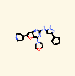 c1ccc(-c2cc(Nc3nc(N4CCOCC4)c4oc(-c5ccncc5)cc4n3)[nH]n2)cc1